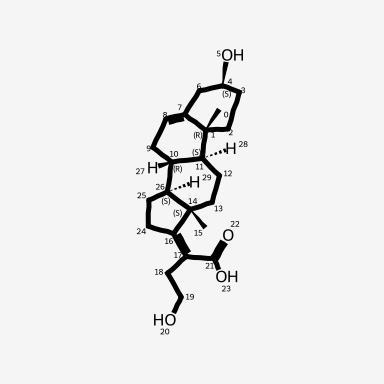 C[C@]12CC[C@H](O)CC1=CC[C@@H]1[C@@H]2CC[C@]2(C)C(=C(CCO)C(=O)O)CC[C@@H]12